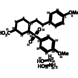 COc1ccc(CCN2CCC(C(=O)O)CC2S(=O)(=O)c2ccc(OC)cc2)cc1.NO.NO